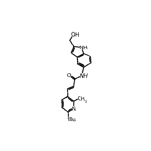 Cc1nc(C(C)(C)C)ccc1/C=C/C(=O)Nc1ccc2[nH]c(CO)cc2c1